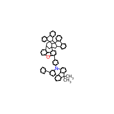 CC1(C)c2ccccc2-c2c(N(c3ccc(-c4ccc5c6c4oc4cccc(c46)C4CC56CC5c7ccccc7-c7ccccc7C57C5c8ccccc8-c8ccccc8C5(C4)C67)cc3)c3cccc(-c4ccccc4)c3)cccc21